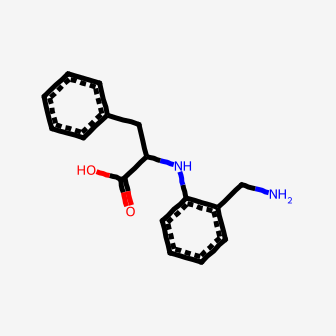 NCc1ccccc1NC(Cc1ccccc1)C(=O)O